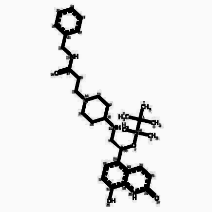 CC(C)(C)[Si](C)(C)O[C@H](CNC1CCN(CCC(=O)NCc2ccccc2)CC1)c1ccc(O)c2[nH]c(=O)ccc12